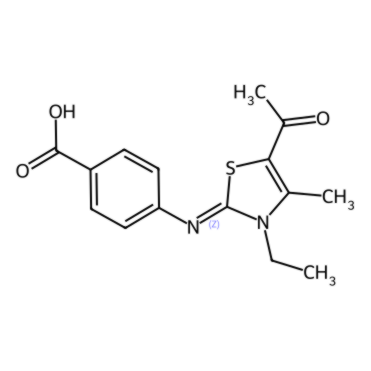 CCn1c(C)c(C(C)=O)s/c1=N\c1ccc(C(=O)O)cc1